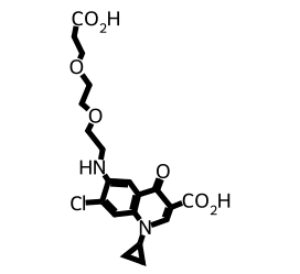 O=C(O)CCOCCOCCNc1cc2c(=O)c(C(=O)O)cn(C3CC3)c2cc1Cl